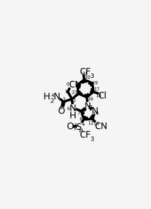 N#CCC1(C(N)=O)Nc2c([S+]([O-])C(F)(F)F)c(C#N)nn2-c2c(Cl)cc(C(F)(F)F)cc21